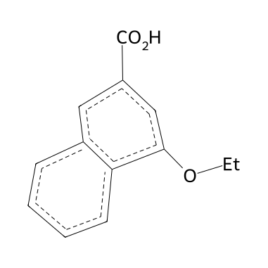 CCOc1cc(C(=O)O)cc2ccccc12